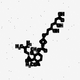 CO[C@@H]1[C@H](OC(=O)N2CC(OCC[C@@H](O)C[C@@H](O)CC(=O)O)C2)CC[C@]2(CO2)[C@H]1[C@@]1(C)O[C@@H]1CC=C(C)C